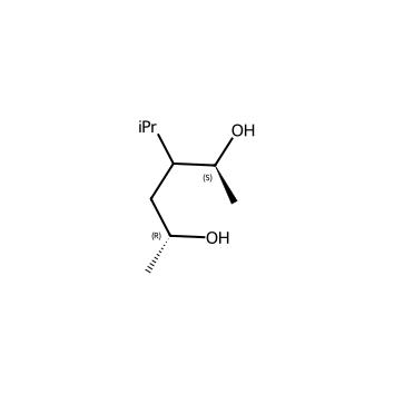 CC(C)C(C[C@@H](C)O)[C@H](C)O